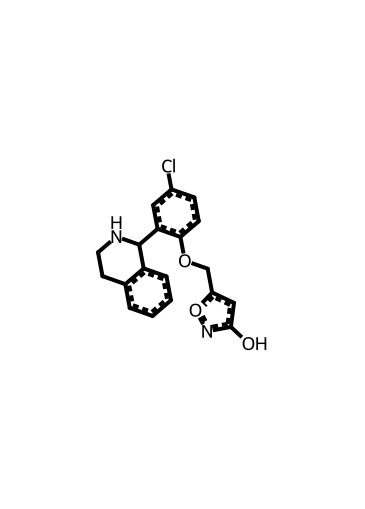 Oc1cc(COc2ccc(Cl)cc2C2NCCc3ccccc32)on1